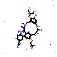 CN1Cc2cc(cc(F)c2OC(CF)CF)NC(=O)CCc2cc(ccc2OCC(F)F)C(Nc2ccc(C#N)cc2)C1=O